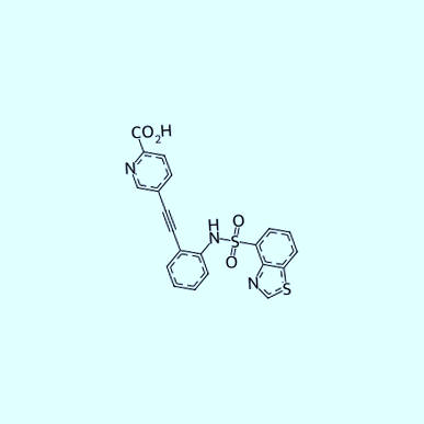 O=C(O)c1ccc(C#Cc2ccccc2NS(=O)(=O)c2cccc3scnc23)cn1